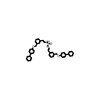 O=[PH](OC=Cc1cccc(COc2ccc(-c3ccccc3)cc2)c1)OC=Cc1cccc(COc2ccc(-c3ccccc3)cc2)c1